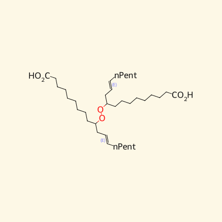 CCCCC/C=C/CC(CCCCCCCCC(=O)O)OOC(C/C=C/CCCCC)CCCCCCCCC(=O)O